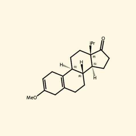 COC1=CCC2=C(CC[C@@H]3[C@@H]2CC[C@]2(C(C)C)C(=O)CC[C@@H]32)C1